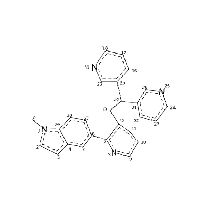 Cn1ccc2cc(-c3ncccc3CC(c3cccnc3)c3cccnc3)ccc21